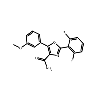 COc1cccc(-c2oc(-c3c(F)cccc3F)nc2C(N)=O)c1